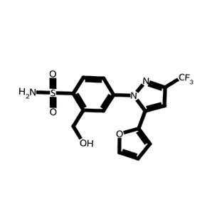 NS(=O)(=O)c1ccc(-n2nc(C(F)(F)F)cc2-c2ccco2)cc1CO